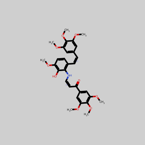 COc1ccc(/C=C\c2cc(OC)c(OC)c(OC)c2)c(N/C=C\C(=O)c2cc(OC)c(OC)c(OC)c2)c1O